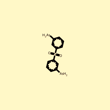 O=S(=O)(c1cccc([AsH2])c1)c1cccc([AsH2])c1